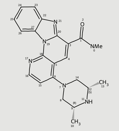 CNC(=O)c1cc2c(N3C[C@@H](C)N[C@@H](C)C3)ccnc2n2c1nc1ccccc12